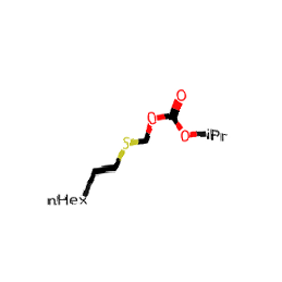 CCCCCCCCSCOC(=O)OC(C)C